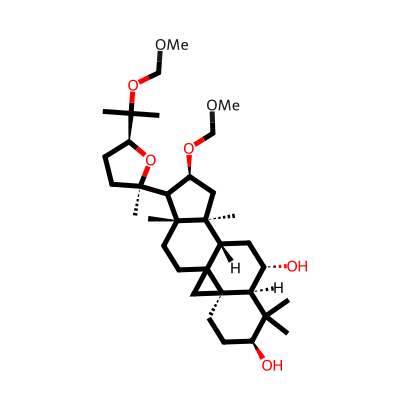 COCO[C@H]1C[C@@]2(C)[C@@H]3C[C@H](O)[C@H]4C(C)(C)[C@@H](O)CC[C@@]45CC35CC[C@]2(C)C1[C@@]1(C)CC[C@@H](C(C)(C)OCOC)O1